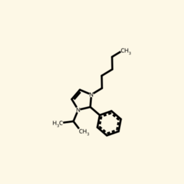 CCCCCN1C=CN(C(C)C)C1c1ccccc1